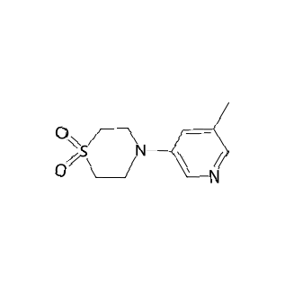 Cc1cncc(N2CCS(=O)(=O)CC2)c1